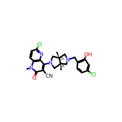 Cn1c(=O)c(C#N)c(N2C[C@]3(C)CN(Cc4ccc(Cl)cc4O)C[C@]3(C)C2)c2nc(Cl)ccc21